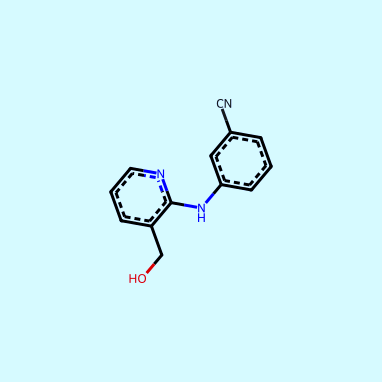 N#Cc1cccc(Nc2ncccc2CO)c1